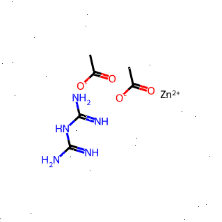 CC(=O)[O-].CC(=O)[O-].N=C(N)NC(=N)N.[Zn+2]